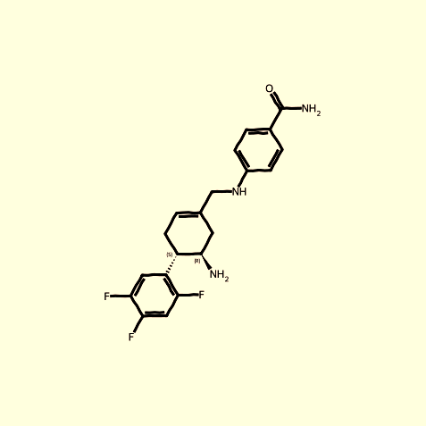 NC(=O)c1ccc(NCC2=CC[C@@H](c3cc(F)c(F)cc3F)[C@H](N)C2)cc1